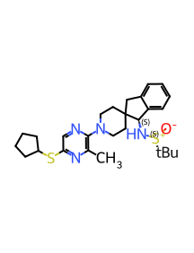 Cc1nc(SC2CCCC2)cnc1N1CCC2(CC1)Cc1ccccc1[C@H]2N[S@+]([O-])C(C)(C)C